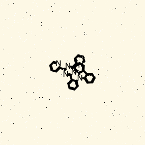 c1ccc(-c2nc(-c3ccccn3)nc(-c3ccccc3-n3c4ccccc4c4ccccc43)n2)nc1